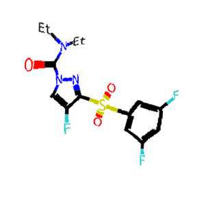 CCN(CC)C(=O)n1cc(F)c(S(=O)(=O)c2cc(F)cc(F)c2)n1